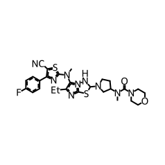 CCc1nc2n(c1N(C)c1nc(-c3ccc(F)cc3)c(C#N)s1)NC(N1CCC(N(C)C(=O)N3CCOCC3)C1)S2